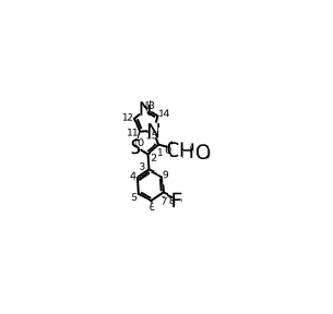 O=Cc1c(-c2cccc(F)c2)sc2cncn12